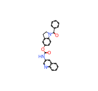 O=C(Nc1cnc2ccccc2c1)Oc1ccc2c(c1)CCN2C(=O)c1ccccc1